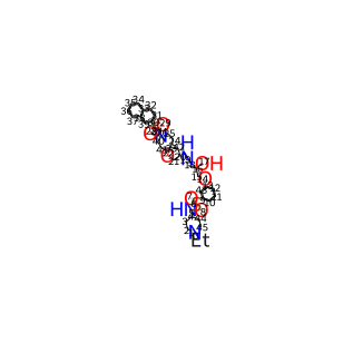 CCN1CCC(NS(=O)(=O)c2cccc(OCC(O)CNC3COC4(CCN(S(=O)(=O)c5ccc6ccccc6c5)CC4)C3)c2)CC1